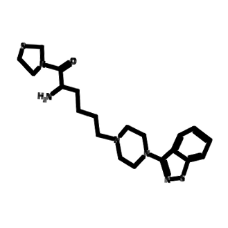 NC(CCCCN1CCN(c2nsc3ccccc23)CC1)C(=O)N1CCSC1